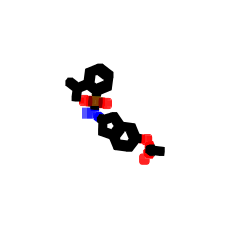 CC(=O)Oc1ccc2c(c1)CC(NS(=O)(=O)c1ccccc1C(C)C)C2